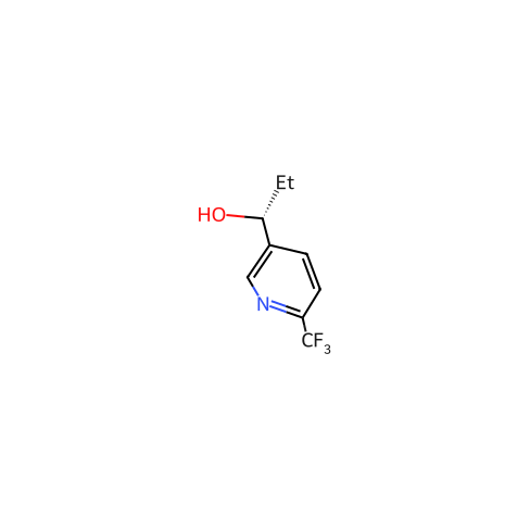 CC[C@@H](O)c1ccc(C(F)(F)F)nc1